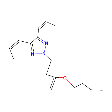 C=C(CCn1nc(/C=C\C)c(/C=C\C)n1)OCCCC